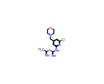 CC(=N)SC(=N)Nc1cc(CN2CCOCC2)cc(Cl)n1